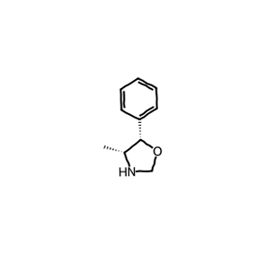 C[C@H]1NCO[C@H]1c1ccccc1